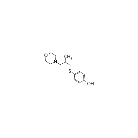 CC(CSc1ccc(O)cc1)CN1CCOCC1